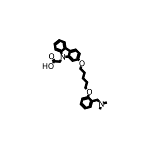 CN(C)Cc1ccccc1OCCCCCOc1ccc2c3ccccc3n(CC(=O)O)c2c1